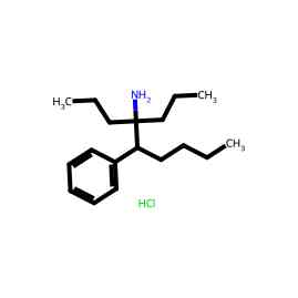 CCCCC(c1ccccc1)C(N)(CCC)CCC.Cl